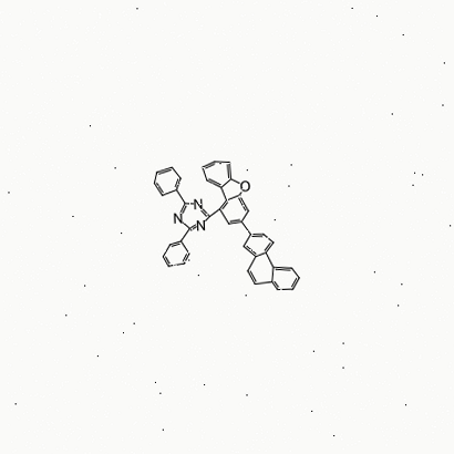 c1ccc(-c2nc(-c3ccccc3)nc(-c3cc(-c4ccc5c(ccc6ccccc65)c4)cc4oc5ccccc5c34)n2)cc1